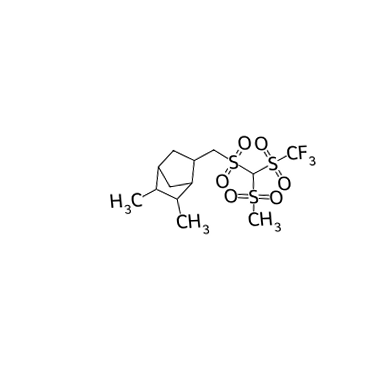 CC1C2CC(CS(=O)(=O)C(S(C)(=O)=O)S(=O)(=O)C(F)(F)F)C(C2)C1C